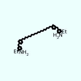 CCc1cc(Cc2ccc(CCCCCCCCCCCCCCCCCCCc3ccc(Cc4ccc(N)c(CC)c4)cc3)cc2)ccc1N